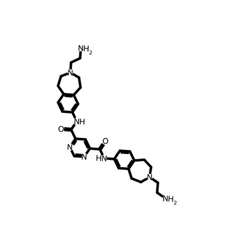 NCCN1CCc2ccc(NC(=O)c3cc(C(=O)Nc4ccc5c(c4)CCN(CCN)CC5)ncn3)cc2CC1